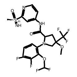 COC1(C(F)(F)F)CC(C(=O)Nc2ccnc([S@](C)(=N)=O)c2)N(c2ccc(F)c(F)c2OC(F)F)C1